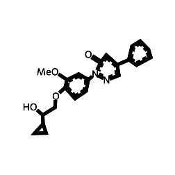 COc1cc(-n2ncc(-c3ccccc3)cc2=O)ccc1OCC(O)C1CC1